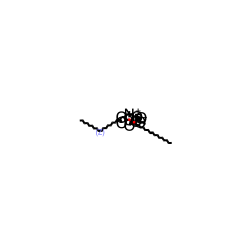 CCCCCCCCC=CCCCCCCCC(=O)OCC(C[N+](C)(C)CCOP(=O)([O-])OCC)OC(=O)CCCCCCC/C=C\CCCCCCCC